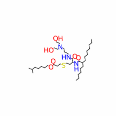 CCCCCCCCC(CCCCCC)C(=O)NC(CCSCCC(=O)OCCCCCC(C)C)C(=O)NCCCN(CCO)CCO